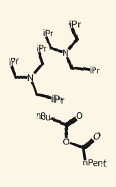 CC(C)CN(CC(C)C)CC(C)C.CC(C)CN(CC(C)C)CC(C)C.CCCCCC(=O)OC(=O)CCCC